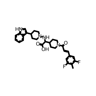 Cc1c(F)cc(/C=C/C(=O)N2CCC(C(NN3CCC(c4c[nH]c5ccccc45)CC3)C(=O)O)CC2)cc1F